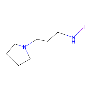 INCCCN1CCCC1